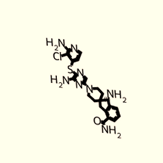 NC(=O)c1cccc2c1CC1(CCN(c3cnc(Sc4ccnc(N)c4Cl)c(N)n3)CC1)[C@@H]2N